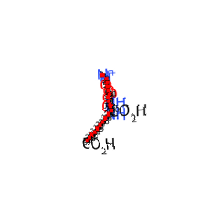 [N-]=[N+]=NCCOCCOCC(=O)OCCNC(=O)CC[C@H](NCCCCCCCCCCCCCCCCCC(=O)O)C(=O)O